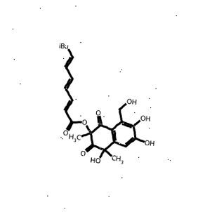 CCC(C)/C=C/C=C/C=C/C(=O)OC1(C)C(=O)c2c(cc(O)c(O)c2CO)C(C)(O)C1=O